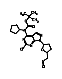 CC(C)(C)OC(=O)N(c1nc(Cl)nc2c1cnn2C1CCC(CN=O)O1)C1CCCC1